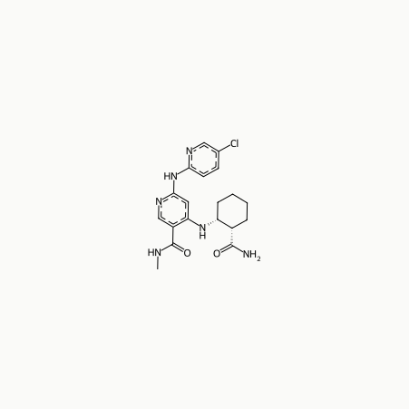 CNC(=O)c1cnc(Nc2ccc(Cl)cn2)cc1N[C@@H]1CCCC[C@@H]1C(N)=O